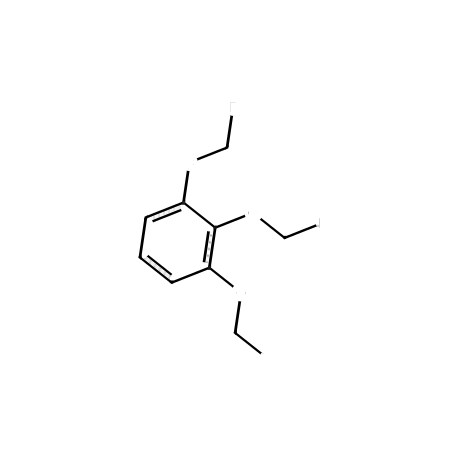 FCOc1cccc(OCF)c1OCF